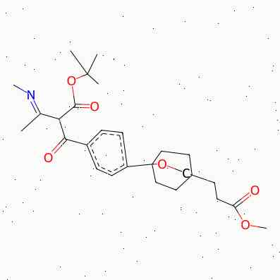 C/N=C(\C)C(C(=O)OC(C)(C)C)C(=O)c1ccc(C23CCC(CCC(=O)OC)(CC2)CO3)cc1